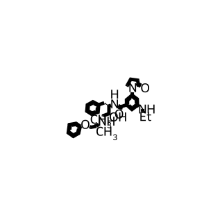 CCNc1cc(C(=O)N[C@@H](Cc2ccccc2)[C@@H](O)CNC(C)(C)COc2ccccc2)cc(N2CCCC2=O)c1